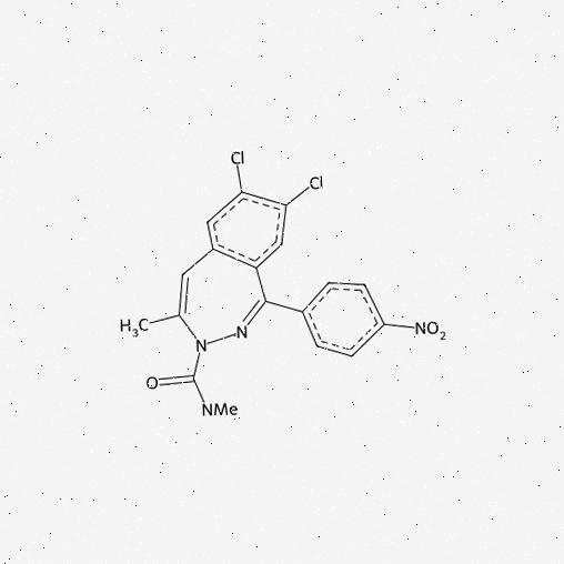 CNC(=O)N1N=C(c2ccc([N+](=O)[O-])cc2)c2cc(Cl)c(Cl)cc2C=C1C